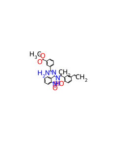 C=Cc1ccc(O)c(C(=C)NC(/N=C(\N)c2cccc(C(=O)OC)c2)c2ccccc2N=O)c1